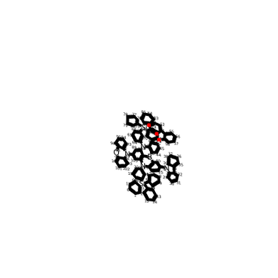 c1ccc([Si](c2ccccc2)(c2ccccc2)c2cccc(N3c4ccc(-n5c6ccccc6c6ccccc65)cc4B4c5ccc(-n6c7ccccc7c7ccccc76)cc5N(c5cccc([Si](c6ccccc6)(c6ccccc6)c6ccccc6)c5)c5cc(N6c7ccccc7Oc7ccccc76)cc3c54)c2)cc1